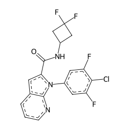 O=C(NC1CC(F)(F)C1)c1cc2cccnc2n1-c1cc(F)c(Cl)c(F)c1